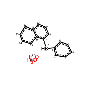 B(c1ccccc1)c1cccc2ccccc12.O.O